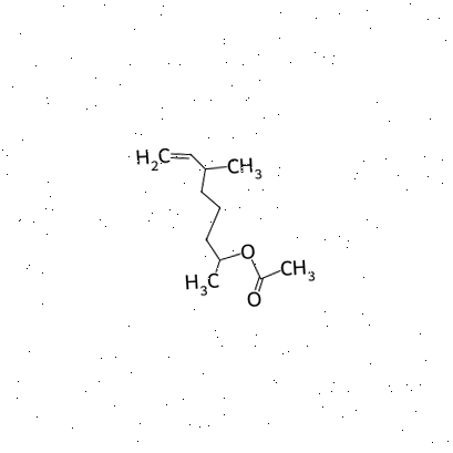 C=CC(C)CCCC(C)OC(C)=O